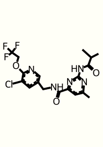 Cc1cc(C(=O)NCc2cnc(OCC(F)(F)F)c(Cl)c2)nc(NC(=O)C(C)C)n1